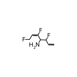 C=CC(F)C(N)/C(F)=C\CF